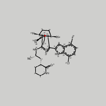 N#C[C@@H](C[C@H]1CCCNC1=O)NC(=O)[C@@H]1[C@@H]2CC[C@@H](CC2(F)F)N1C(=O)c1cc2c(F)ccc(Cl)c2[nH]1